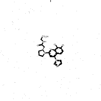 O=C(O)CNC(=O)C[C@@H]1CCCN1c1cc(-n2ccnc2)c2ccc(Cl)c(Cl)c2n1